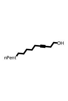 CCCCCCCCCCC#CCCO